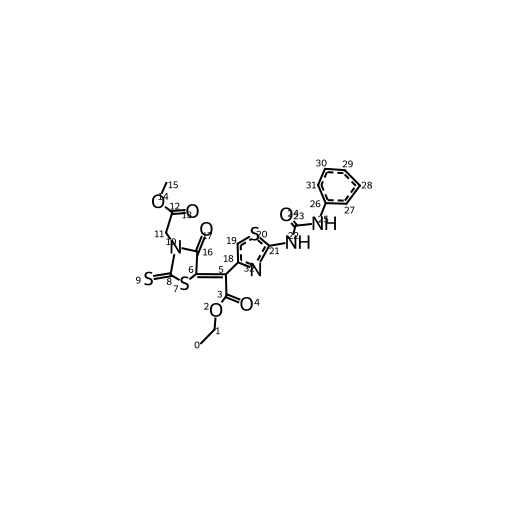 CCOC(=O)/C(=C1\SC(=S)N(CC(=O)OC)C1=O)c1csc(NC(=O)Nc2ccccc2)n1